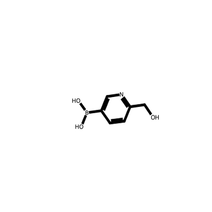 OCc1ccc(B(O)O)cn1